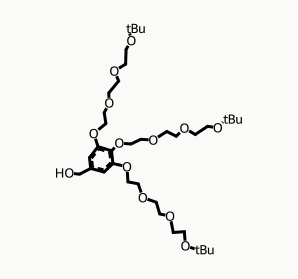 CC(C)(C)OCCOCCOCCOc1cc(CO)cc(OCCOCCOCCOC(C)(C)C)c1OCCOCCOCCOC(C)(C)C